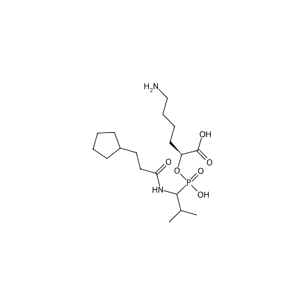 CC(C)C(NC(=O)CCC1CCCC1)P(=O)(O)O[C@@H](CCCCN)C(=O)O